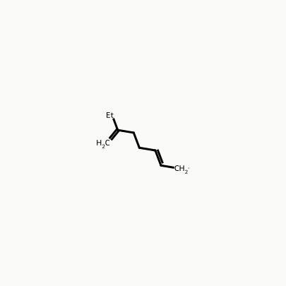 [CH2]C=CCCC(=C)CC